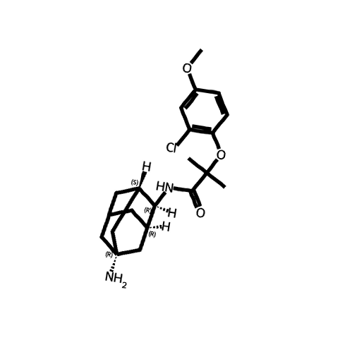 COc1ccc(OC(C)(C)C(=O)N[C@H]2[C@@H]3CC4C[C@H]2C[C@](N)(C4)C3)c(Cl)c1